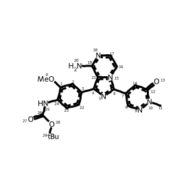 COc1cc(-c2nc(-c3cnn(C)c(=O)c3)n3ccnc(N)c23)ccc1NC(=O)OC(C)(C)C